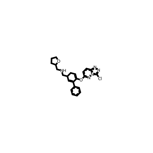 Clc1nnc2ccc(OC3=CCC(CNCC4CCCO4)C=C3c3ccccc3)nn12